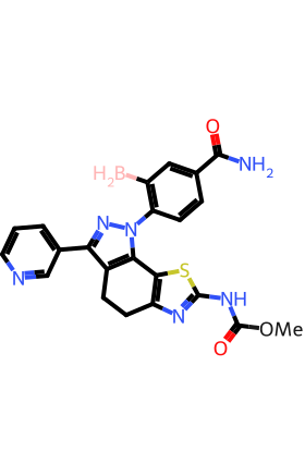 Bc1cc(C(N)=O)ccc1-n1nc(-c2cccnc2)c2c1-c1sc(NC(=O)OC)nc1CC2